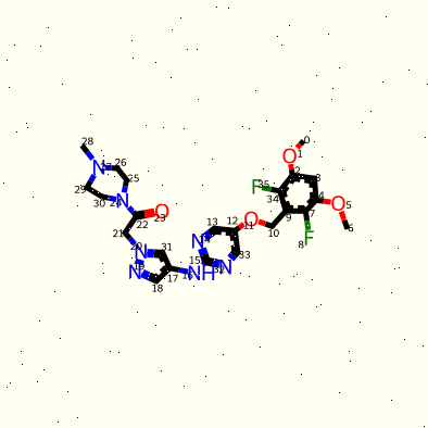 COc1cc(OC)c(F)c(COc2cnc(Nc3cnn(CC(=O)N4CCN(C)CC4)c3)nc2)c1F